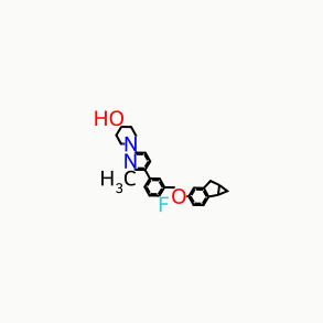 Cc1nc(N2CCC(O)CC2)ccc1-c1ccc(F)c(COc2ccc3c(c2)CC2CC32)c1